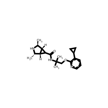 C[C@@H]1N[C@@H](C)[C@H]2C(C(=O)NC(C)(C)COc3ncccc3C3CC3)[C@H]21